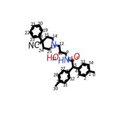 Cc1ccc(C(C(=O)NCC(O)CN2CCC(C#N)(c3ccccc3)CC2)c2ccc(C)cc2)cc1